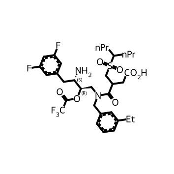 CCCC(CCC)S(=O)(=O)CC(CC(=O)O)C(=O)N(Cc1cccc(CC)c1)C[C@@H](OC(=O)C(F)(F)F)[C@@H](N)Cc1cc(F)cc(F)c1